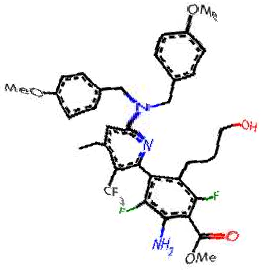 COC(=O)c1c(N)c(F)c(-c2nc(N(Cc3ccc(OC)cc3)Cc3ccc(OC)cc3)cc(C)c2C(F)(F)F)c(CCCO)c1F